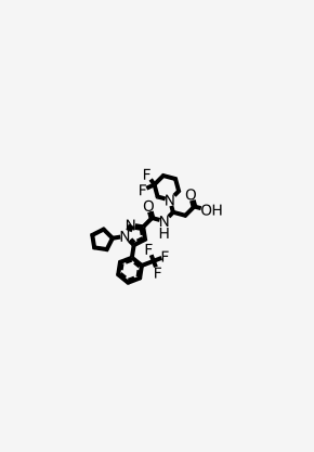 O=C(O)CC(NC(=O)c1cc(-c2ccccc2C(F)(F)F)n(C2CCCC2)n1)N1CCCC(F)(F)C1